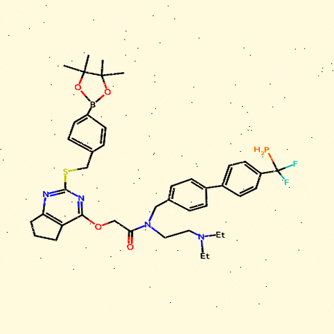 CCN(CC)CCN(Cc1ccc(-c2ccc(C(F)(F)P)cc2)cc1)C(=O)COc1nc(SCc2ccc(B3OC(C)(C)C(C)(C)O3)cc2)nc2c1CCC2